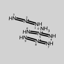 N.N=[N+]=N.N=[N+]=N.N=[N+]=N